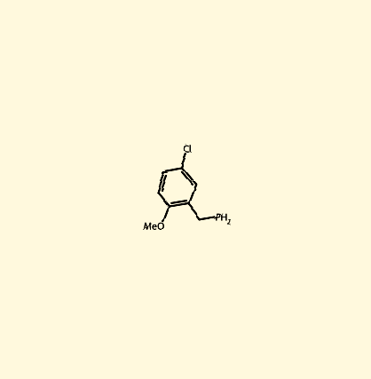 COc1ccc(Cl)cc1CP